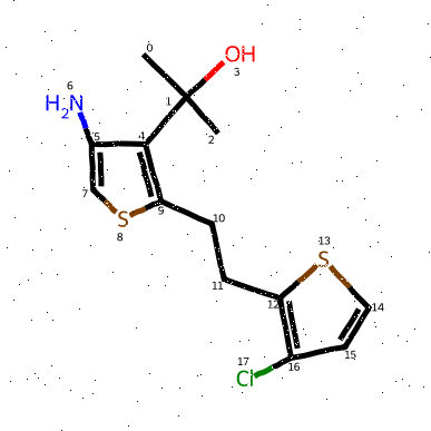 CC(C)(O)c1c(N)csc1CCc1sccc1Cl